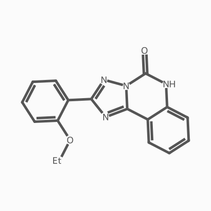 CCOc1ccccc1-c1nc2c3ccccc3[nH]c(=O)n2n1